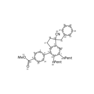 CCCCCc1nc2c(c(-c3ccc(C(=O)OC)cc3)c1CCCCC)CCC2(C#N)Cc1ccccc1